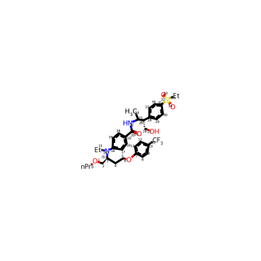 CCCOC[C@H](CCOc1ccc(C(F)(F)F)cc1)N(CC)c1ccc(C(=O)NC(C)[C@@H](CO)c2ccc(S(=O)(=O)CC)cc2)cc1